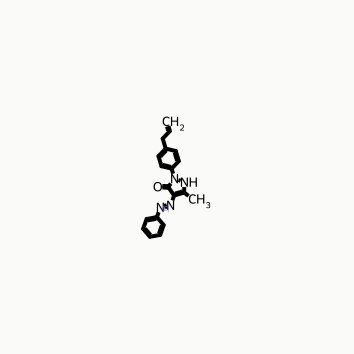 C=CCc1ccc(-n2[nH]c(C)c(/N=N/c3ccccc3)c2=O)cc1